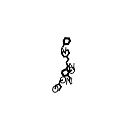 CN(C)Cc1c(OCC2CCOC2)ccc2c(CCC3CCN(Cc4ccccc4)CC3)noc12